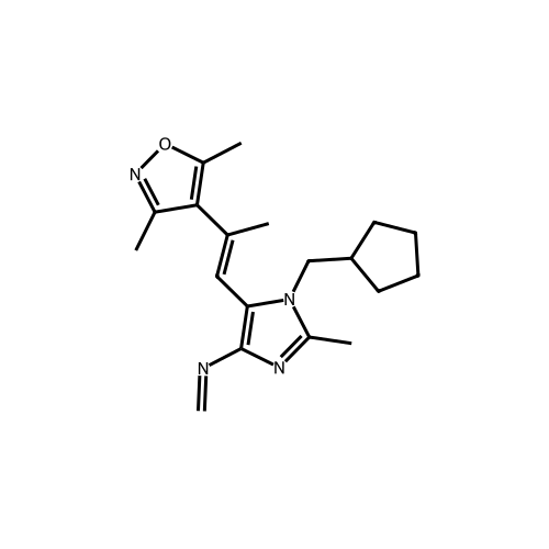 C=Nc1nc(C)n(CC2CCCC2)c1/C=C(\C)c1c(C)noc1C